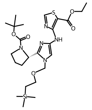 CCOC(=O)c1scnc1Nc1cn(COCC[Si](C)(C)C)c([C@@H]2CCCN2C(=O)OC(C)(C)C)n1